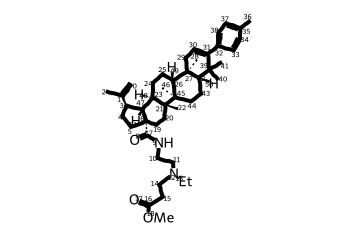 C=C(C)[C@@H]1CC[C@]2(C(=O)NCCN(CC)CCC(=O)OC)CC[C@]3(C)[C@H](CC[C@@H]4[C@@]5(C)CC=C(c6ccc(C)cc6)C(C)(C)[C@@H]5CC[C@]43C)[C@@H]12